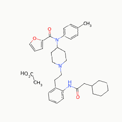 CC(=O)O.Cc1ccc(N(C(=O)c2ccco2)C2CCN(CCc3ccccc3NC(=O)CC3CCCCC3)CC2)cc1